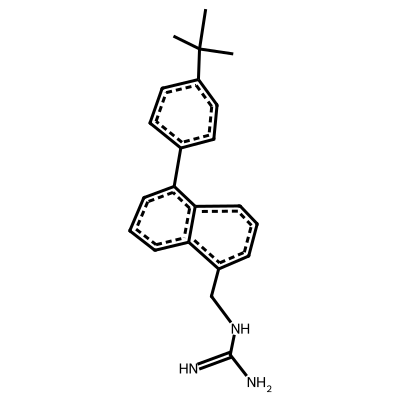 CC(C)(C)c1ccc(-c2cccc3c(CNC(=N)N)cccc23)cc1